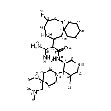 CN1CCOC2(CCN(C3C(F)CNCC3NC(=O)C(C(N)N)C3CC4(CCCCC4)CCC(F)CN3)CC2)C1